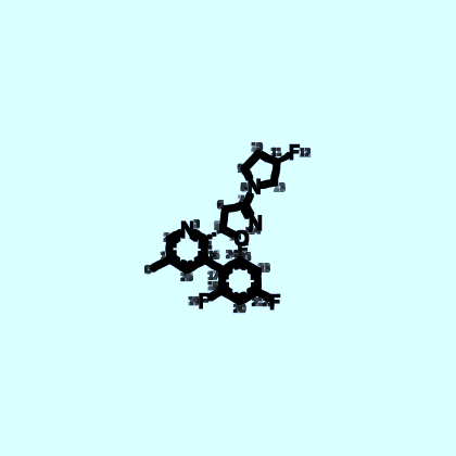 Cc1cnc([C@@H]2CC(N3CC[C@@H](F)C3)=NO2)c(-c2c(F)cc(F)cc2F)c1